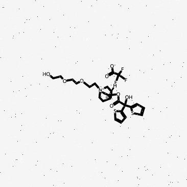 O=C(O[C@H]1C[N+]2(CCOCCOCCO)CCC1CC2)C(O)(c1cccs1)c1cccs1.O=C([O-])C(F)(F)F